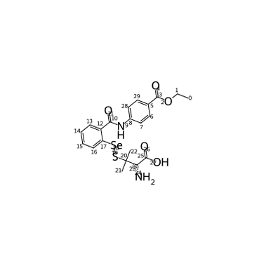 CCOC(=O)c1ccc(NC(=O)c2ccccc2[Se]SC(C)(C)[C@@H](N)C(=O)O)cc1